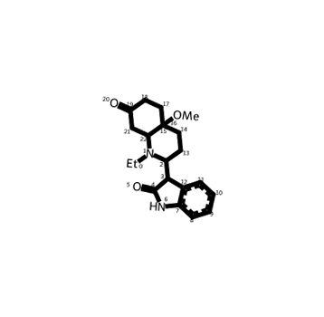 CCN1C(C2C(=O)Nc3ccccc32)CCC2(OC)CCC(=O)CC12